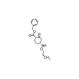 C=CCON[C@@H]1CC[C@@H](C(=O)OCc2ccccc2)NC1